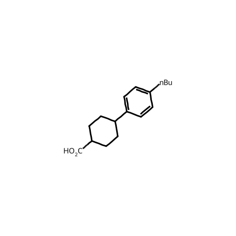 CCCCc1ccc(C2CCC(C(=O)O)CC2)cc1